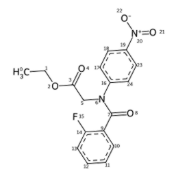 CCOC(=O)CN(C(=O)c1ccccc1F)c1ccc([N+](=O)[O-])cc1